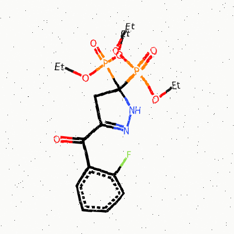 CCOP(=O)(OCC)C1(P(=O)(OCC)OCC)CC(C(=O)c2ccccc2F)=NN1